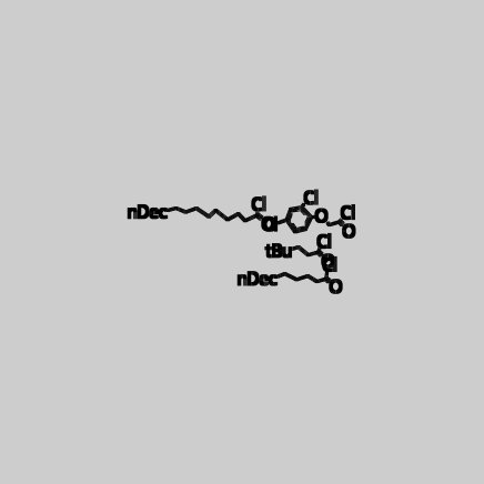 CC(C)(C)CCC(=O)Cl.CCCCCCCCCCCCCCC(=O)Cl.CCCCCCCCCCCCCCCCCCC(=O)Cl.O=C(Cl)COc1ccc(Cl)cc1Cl